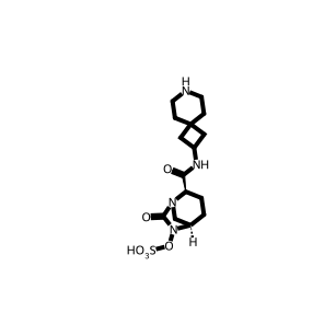 O=C(NC1CC2(CCNCC2)C1)[C@H]1CC[C@@H]2CN1C(=O)N2OS(=O)(=O)O